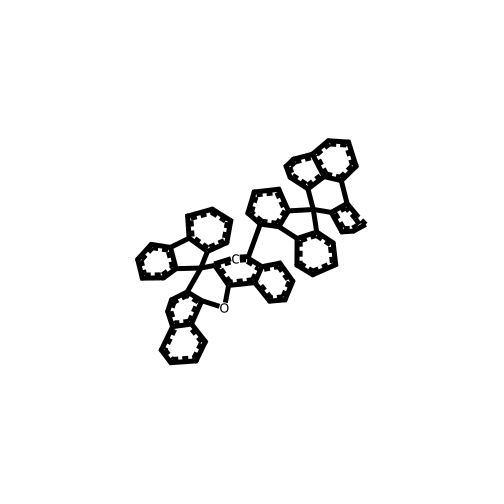 c1ccc2c(c1)-c1ccccc1C21c2ccc3ccccc3c2Oc2c1cc(-c1cccc3c1-c1ccccc1C31c3ccccc3-c3cccc4cccc1c34)c1ccccc21